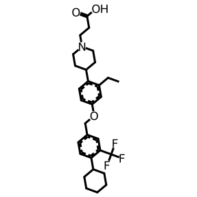 CCc1cc(OCc2ccc(C3CCCCC3)c(C(F)(F)F)c2)ccc1C1CCN(CCC(=O)O)CC1